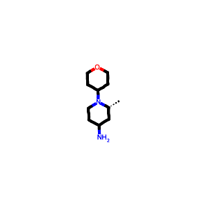 C[C@@H]1CC(N)CCN1C1CCOCC1